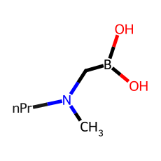 CCCN(C)CB(O)O